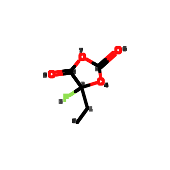 CCC1(F)OC(=O)OC1=O